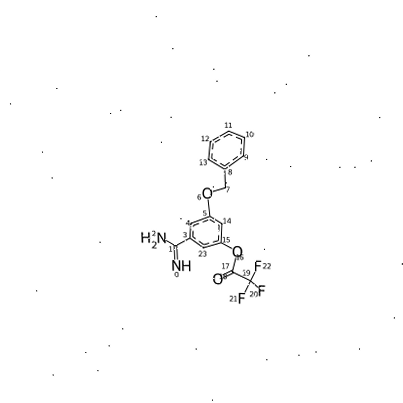 N=C(N)c1cc(OCc2ccccc2)cc(OC(=O)C(F)(F)F)c1